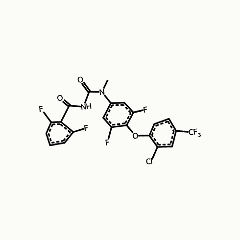 CN(C(=O)NC(=O)c1c(F)cccc1F)c1cc(F)c(Oc2ccc(C(F)(F)F)cc2Cl)c(F)c1